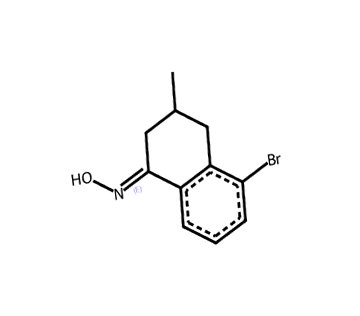 CC1C/C(=N\O)c2cccc(Br)c2C1